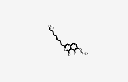 C=CCC/C=C/CCc1cc2ccc(OCCCCCC)c(F)c2c(=O)o1